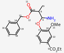 CCOC(=O)c1ccc(OC(N)C(C)C(=O)OCc2ccccc2)c(OC)c1